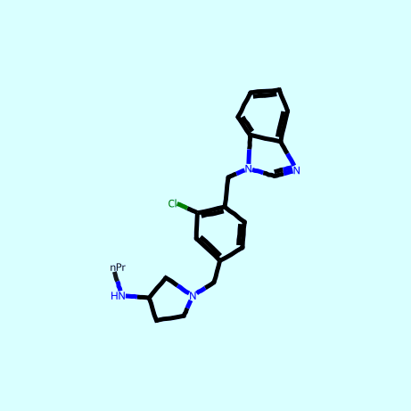 CCCNC1CCN(Cc2ccc(Cn3cnc4ccccc43)c(Cl)c2)C1